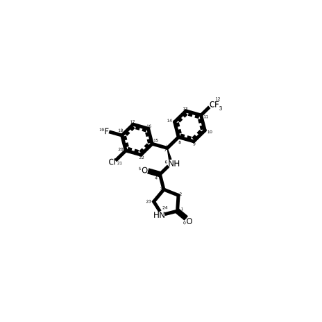 O=C1CC(C(=O)N[C@H](c2ccc(C(F)(F)F)cc2)c2ccc(F)c(Cl)c2)CN1